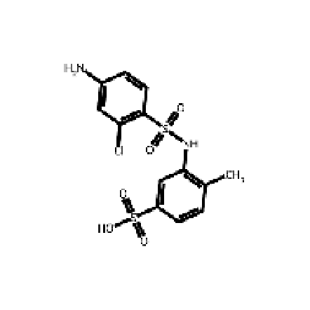 Cc1ccc(S(=O)(=O)O)cc1NS(=O)(=O)c1ccc(N)cc1Cl